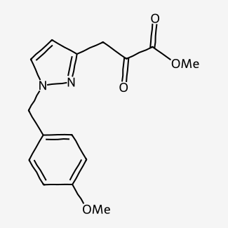 COC(=O)C(=O)Cc1ccn(Cc2ccc(OC)cc2)n1